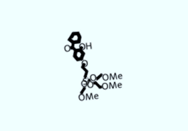 COCCO[Si](CCCOc1ccc(C(=O)c2ccccc2)c(O)c1)(OCCOC)OCCOC